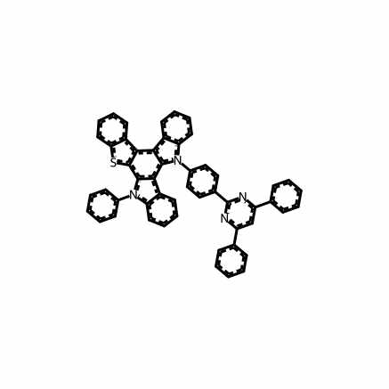 c1ccc(-c2cc(-c3ccccc3)nc(-c3ccc(-n4c5ccccc5c5c6c7ccccc7sc6c6c(c7ccccc7n6-c6ccccc6)c54)cc3)n2)cc1